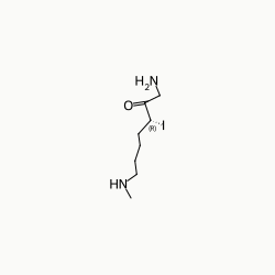 CNCCCC[C@@H](I)C(=O)CN